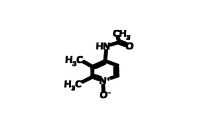 CC(=O)Nc1cc[n+]([O-])c(C)c1C